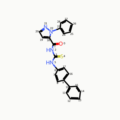 O=C(NC(=S)Nc1ccc(-c2ccccc2)cc1)c1ccnn1-c1ccccc1